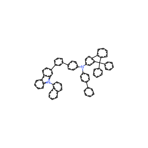 c1ccc(-c2ccc(N(c3ccc(-c4cccc(-c5ccc6c7ccccc7n(-c7cccc8ccccc78)c6c5)c4)cc3)c3ccc4c(c3)C(c3ccccc3)(c3ccccc3)c3ccccc3-4)cc2)cc1